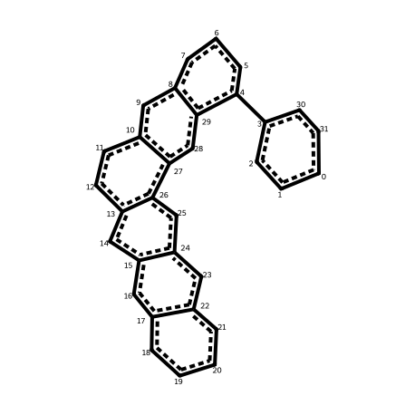 c1ccc(-c2cccc3cc4ccc5cc6cc7ccccc7cc6cc5c4cc23)cc1